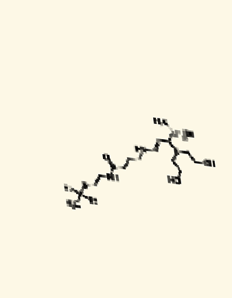 CC[C@@H](C)[C@@H](C)C(C=CNCCCC(=O)NCCSC(C)(CC)CC)N(CCO)CCO